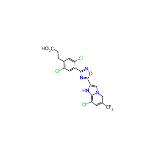 O=C(O)CCc1cc(Cl)c(-c2noc(C3=CN4CC(C(F)(F)F)=CC(Cl)=C4N3)n2)cc1Cl